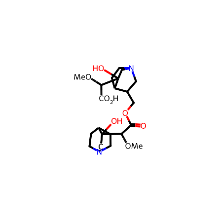 COC(C(=O)OCC1CN2CCC1C(O)(C(OC)C(=O)O)C2)C1(O)CN2CCC1CC2